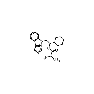 CC(N)C(=O)OC(CC1c2ccccc2-c2cncn21)C1CCCCC1